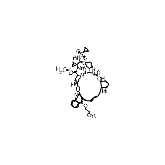 C=C[C@@H]1C[C@]1(NC(=O)[C@@H]1C[C@@H]2CN1C(=O)[C@H](C1CCCC1)NC(=O)O[C@@H]1CCC[C@H]1CC/C=C/Cc1c(nc3ccccc3c1OCCO)O2)C(=O)NS(=O)(=O)C1CC1